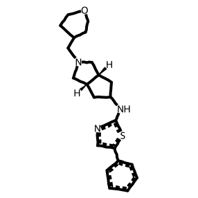 c1ccc(-c2cnc(NC3C[C@@H]4CN(CC5CCOCC5)C[C@@H]4C3)s2)cc1